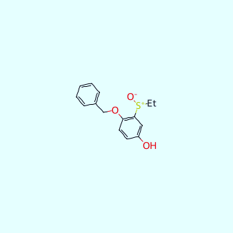 CC[S+]([O-])c1cc(O)ccc1OCc1ccccc1